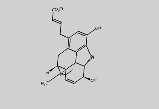 CCOC(=O)C=CCc1cc(O)c2c3c1C[C@@H]1[C@@H]4C=C[C@H](O)[C@H](O2)[C@]34CCN1C